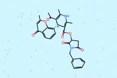 CC(=O)C1=C(C)NC(C)=C(C(=O)OC2CC(=O)N(Cc3ccccc3)C2=O)[C@@H]1c1cccc2c(=O)cc(C)oc12